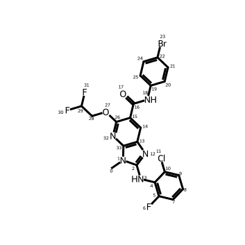 Cn1c(Nc2c(F)cccc2Cl)nc2cc(C(=O)Nc3ccc(Br)cc3)c(OCC(F)F)nc21